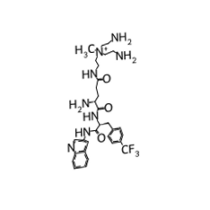 C[N+](CCN)(CCN)CCNC(=O)CC[C@H](N)C(=O)N[C@@H](Cc1ccc(C(F)(F)F)cc1)C(=O)Nc1cnc2ccccc2c1